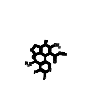 COC(=O)C1=C(C)NC2=C(C(=O)OC2)[C@@H]1c1cnc(F)c(F)c1[C@@H](C)F